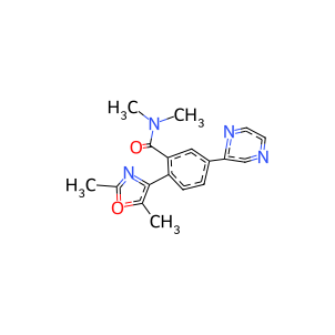 Cc1nc(-c2ccc(-c3cnccn3)cc2C(=O)N(C)C)c(C)o1